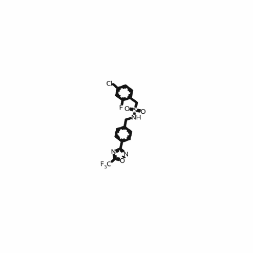 O=S(=O)(Cc1ccc(Cl)cc1F)NCc1ccc(-c2noc(C(F)(F)F)n2)cc1